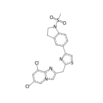 CS(=O)(=O)N1CCc2cc(-c3csc(Cc4cn5cc(Cl)cc(Cl)c5n4)n3)ccc21